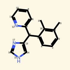 Cc1cccc(C(c2ccccn2)c2c[nH]cn2)c1C